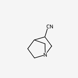 N#CC1CN2CCC1C2